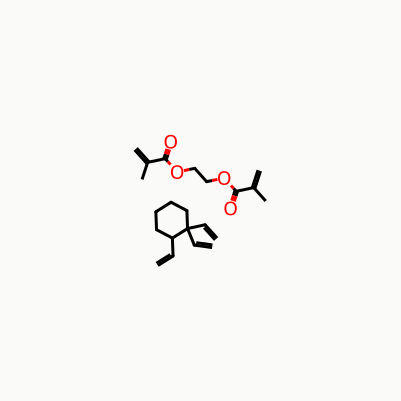 C=C(C)C(=O)OCCOC(=O)C(=C)C.C=CC1CCCCC1(C=C)C=C